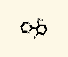 CC(C)(C)c1cccc(F)c1-c1ncccn1